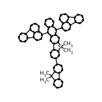 CC1(C)c2ccccc2-c2ccc(-c3ccc4c(c3)[Si](C)(C)c3cc5c(-c6ccc7c8c(cccc68)-c6ccccc6-7)c6ccccc6c(-c6ccc7c8c(cccc68)-c6ccccc6-7)c5cc3-4)cc21